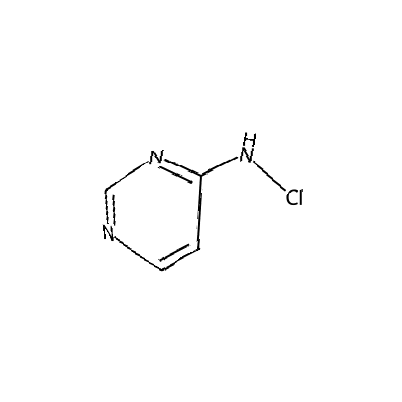 ClNc1ccncn1